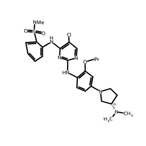 CNS(=O)(=O)c1ccccc1Nc1nc(Nc2ccc(N3CC[C@H](N(C)C)C3)cc2OC(C)C)ncc1Cl